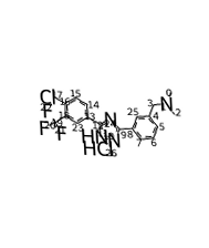 CN(C)Cc1cccc(-c2n[nH]c(-c3ccc(Cl)c(C(F)(F)F)c3)n2)c1.Cl